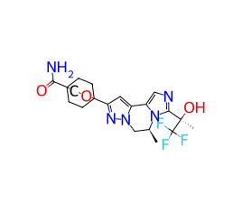 C[C@H]1Cn2nc(C34CCC(C(N)=O)(CC3)CO4)cc2-c2cnc([C@@](C)(O)C(F)(F)F)n21